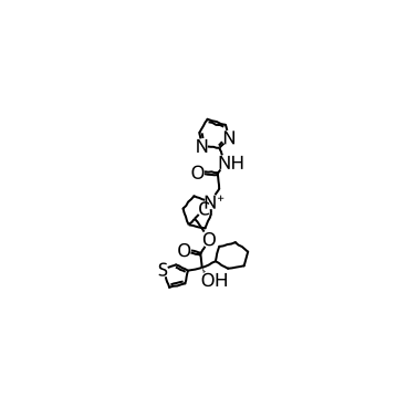 O=C(C[N+]12CCC(CC1)C(OC(=O)[C@](O)(c1ccsc1)C1CCCCC1)C2)Nc1ncccn1